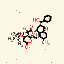 CCC(C)(C)C(=O)O[C@H]1C[C@@H](C(O)c2ccccc2)C[C@@H]2CC[C@H](C)[C@H](CC[C@@H]3C[C@@H](O[Si](C)(C)C(C)(C)C)CC(=O)O3)[C@H]21